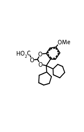 COc1ccc2c(c1)OC(OC(=O)O)OC2(C1CCCCC1)C1CCCCC1